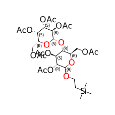 CC(=O)OC[C@H]1O[C@@H](O[C@H]2[C@H](OC(C)=O)[C@@H](OC(C)=O)[C@H](OCC[Si](C)(C)C)O[C@@H]2COC(C)=O)[C@H](OC(C)=O)[C@@H](OC(C)=O)[C@H]1OC(C)=O